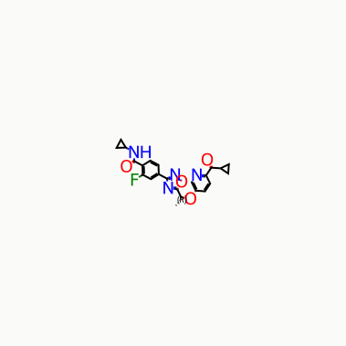 C[C@@H](Oc1ccc(C(=O)C2CC2)nc1)c1nc(-c2ccc(C(=O)NC3CC3)c(F)c2)no1